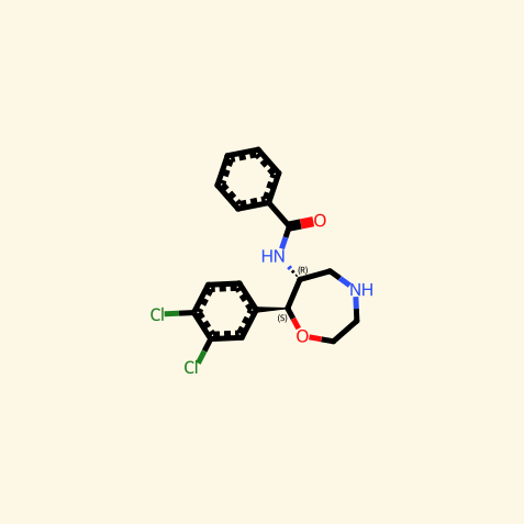 O=C(N[C@@H]1CNCCO[C@H]1c1ccc(Cl)c(Cl)c1)c1ccccc1